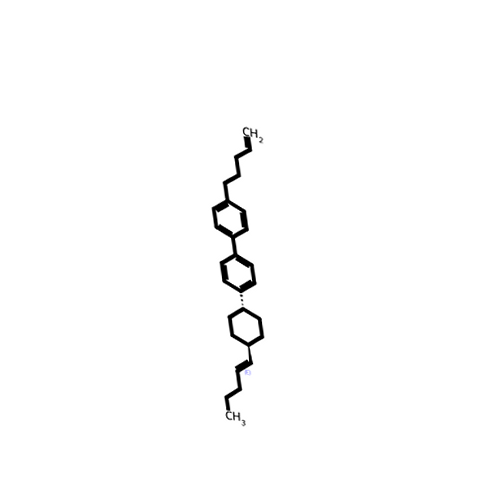 C=CCCCc1ccc(-c2ccc([C@H]3CC[C@H](/C=C/CCC)CC3)cc2)cc1